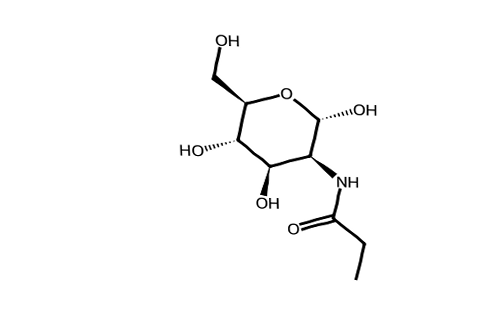 CCC(=O)N[C@H]1[C@@H](O)[C@H](O)[C@@H](CO)O[C@@H]1O